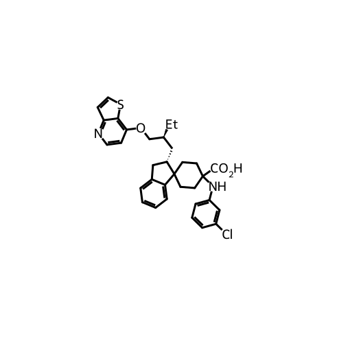 CC[C@H](COc1ccnc2ccsc12)C[C@H]1Cc2ccccc2C12CCC(Nc1cccc(Cl)c1)(C(=O)O)CC2